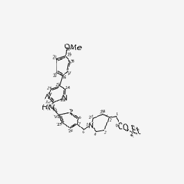 CCOC(=O)CC1CCN(Cc2ccc(Nc3ncc(-c4ccc(OC)cc4)cn3)cc2)CC1